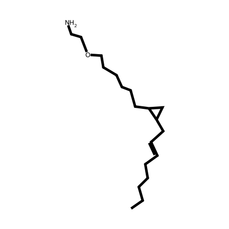 CCCCC/C=C/CC1CC1CCCCCCOCCN